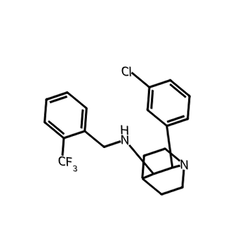 FC(F)(F)c1ccccc1CNC1C2CCN(CC2)C1c1cccc(Cl)c1